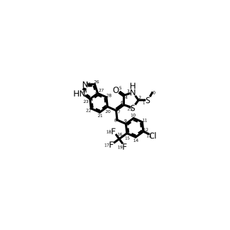 CSC1NC(=O)C(=C(Cc2ccc(Cl)cc2C(F)(F)F)c2ccc3[nH]ncc3c2)S1